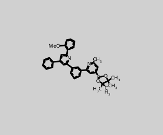 COc1ccccc1-c1cc(-c2ccccc2)cc(-c2cccc(-c3cc(B4OC(C)(C)C(C)(C)O4)cc(C)n3)c2)n1